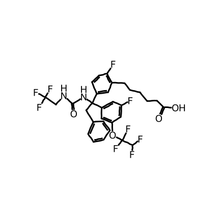 O=C(O)CCCCCc1cc(C(Cc2ccccc2)(NC(=O)NCC(F)(F)F)c2cc(F)cc(OC(F)(F)C(F)F)c2)ccc1F